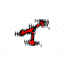 CCNC1C(OCCOCCOCCNC(=O)CN(CC(=O)NCCOCCOCCOC2(NC(C)=O)COC(CO)C(O)C2O)C(=O)C(CCC(=O)NCCOCCOCCOC2OC(CO)C(O)C(O)C2NC(C)=O)NC(=O)C2CCC(OC)CC2)OC(CO)C(O)C1O